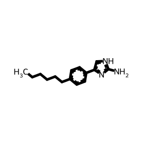 CCCCCCc1ccc(-c2c[nH]c(N)n2)cc1